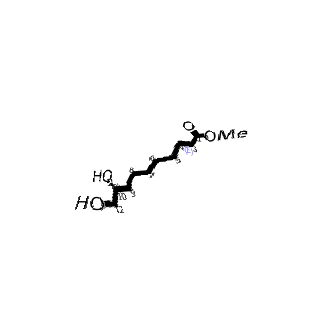 COC(=O)/C=C/CCCCC[C@@H](O)CO